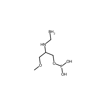 BCNC(COC)COP(O)O